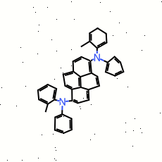 CC1=CCCC=C1N(c1ccccc1)c1ccc2ccc3c(N(c4ccccc4)c4ccccc4C)ccc4ccc1c2c43